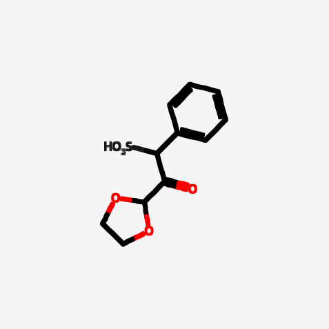 O=C(C1OCCO1)C(c1ccccc1)S(=O)(=O)O